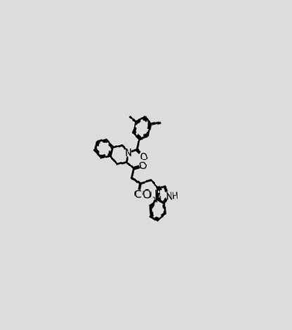 Cc1cc(C)cc(C(=O)N2Cc3ccccc3CC2C(=O)CC(Cc2c[nH]c3ccccc23)C(=O)O)c1